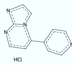 Cl.c1cc(-c2ccnc3nccn23)ccn1